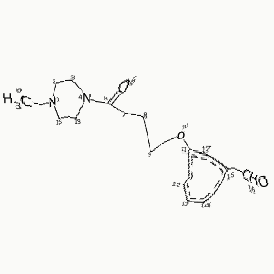 CN1CCN(C(=O)CCCOc2cccc(C=O)c2)CC1